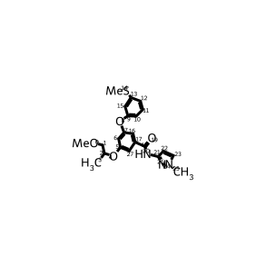 COCC(C)Oc1cc(Oc2cccc(SC)c2)cc(C(=O)Nc2ccn(C)n2)c1